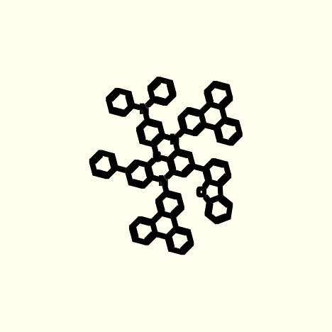 c1ccc(-c2ccc3c(c2)B2c4ccc(N(c5ccccc5)c5ccccc5)cc4N(c4ccc5c6ccccc6c6ccccc6c5c4)c4cc(-c5cccc6c5oc5ccccc56)cc(c42)N3c2ccc3c4ccccc4c4ccccc4c3c2)cc1